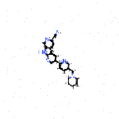 N#Cc1cc2c(cn1)[nH]c1ncc(-c3ccc(CN4CCCCC4)cn3)cc12